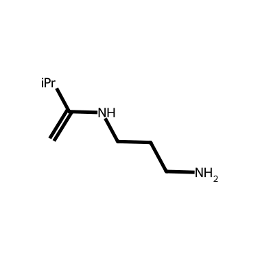 C=C(NCCCN)C(C)C